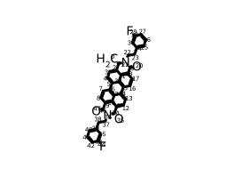 C=c1c2ccc3c4ccc5c6c(ccc(c7ccc(c(=O)n1CCc1cccc(F)c1)c2c37)c64)C(=O)N(CCc1cccc(F)c1)C5=O